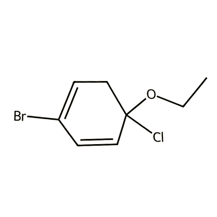 CCOC1(Cl)C=CC(Br)=CC1